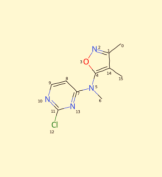 Cc1noc(N(C)c2ccnc(Cl)n2)c1C